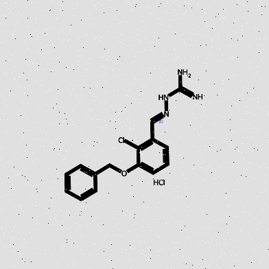 Cl.N=C(N)N/N=C/c1cccc(OCc2ccccc2)c1Cl